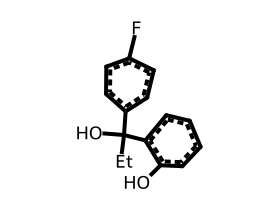 CCC(O)(c1ccc(F)cc1)c1ccccc1O